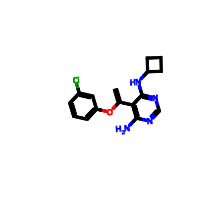 C=C(Oc1cccc(Cl)c1)c1c(N)ncnc1NC1CCC1